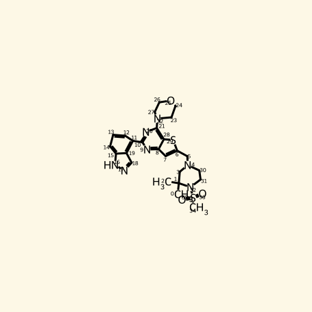 CC1(C)CN(Cc2cc3nc(-c4cccc5[nH]ncc45)nc(N4CCOCC4)c3s2)CCN1S(C)(=O)=O